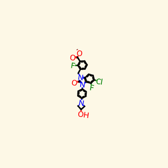 COC(=O)c1cccc(Cn2c(=O)n(-c3ccc(N4CC(O)C4)cc3)c3c(F)c(Cl)ccc32)c1F